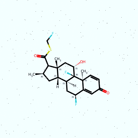 C[C@@H]1C[C@H]2[C@@H]3C[C@H](F)C4=CC(=O)C=C[C@]4(C)[C@@]3(F)[C@@H](O)C[C@@]2(C)[C]1C(=O)SCF